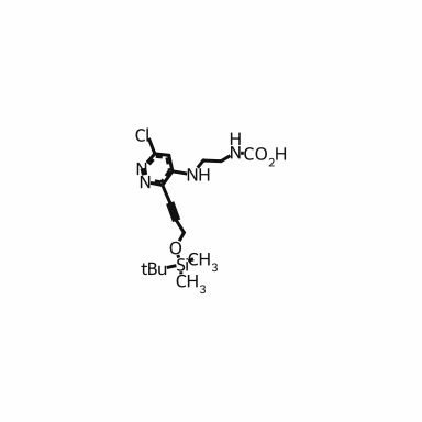 CC(C)(C)[Si](C)(C)OCC#Cc1nnc(Cl)cc1NCCNC(=O)O